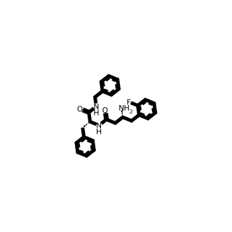 N[C@@H](CC(=O)N[C@H](Cc1ccccc1)C(=O)NCc1ccccc1)Cc1ccccc1F